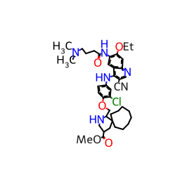 CCOc1cc2ncc(C#N)c(Nc3ccc(OCC4NCC(C(=O)OC)CC45CCCCCCCC5)c(Cl)c3)c2cc1NC(=O)CCCN(C)C